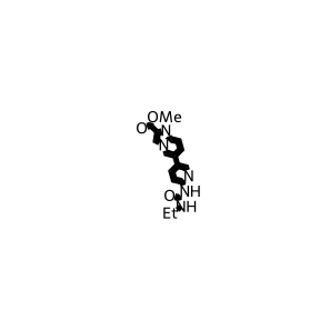 CCNC(=O)Nc1ccc(-c2ccc3nc(C(=O)OC)cn3c2)cn1